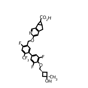 C[C@]1(O)C[C@@H](COc2c(F)cc(-c3cc(COc4cc5c(cn4)C4C(C5)C4C(=O)O)c(F)cc3C(F)(F)F)cc2F)C1